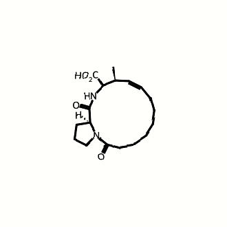 C[C@H]1/C=C\CCCCCCC(=O)N2CCC[C@H]2C(=O)NC1C(=O)O